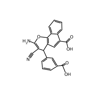 N#CC1=C(N)Oc2c(cc(C(=O)O)c3ccccc23)C1c1cccc(C(=O)O)c1